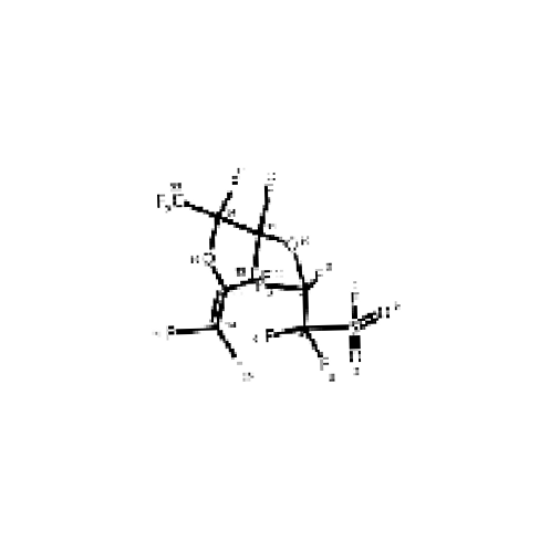 O=S(=O)(F)C(F)(F)C(F)(F)OC(F)(F)C(F)(OC(F)=C(F)F)C(F)(F)F